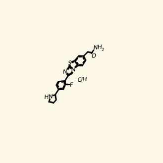 Cl.NC(=O)Cc1ccc2c(c1)sc1nc(-c3ccc(C4CCCN4)cc3F)cn12